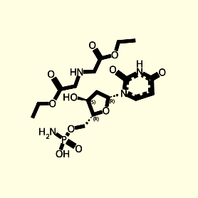 CCOC(=O)CNCC(=O)OCC.NP(=O)(O)OC[C@H]1O[C@@H](n2ccc(=O)[nH]c2=O)C[C@@H]1O